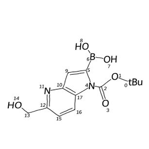 CC(C)(C)OC(=O)n1c(B(O)O)cc2nc(CO)ccc21